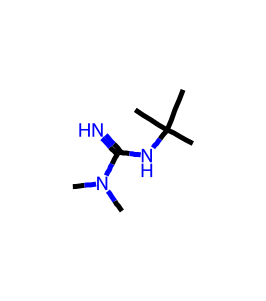 CN(C)C(=N)NC(C)(C)C